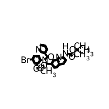 CC(C)(C)OC(=O)Nc1ccc2ccc(CN(C(=O)c3cccnc3)c3ccc(Br)cc3S(C)(=O)=O)cc2n1